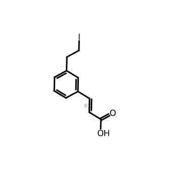 O=C(O)/C=C/c1cccc(CCI)c1